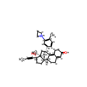 CC#C[C@]1(O)CC[C@H]2[C@@H]3CCC4=CC(=O)CCC4=C3[C@@H](c3ccc(C)c(N4CCC4)c3)C[C@@]21C